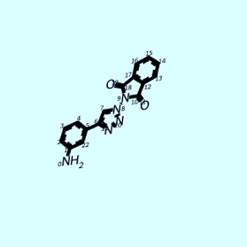 Nc1cccc(-c2cn(N3C(=O)c4ccccc4C3=O)nn2)c1